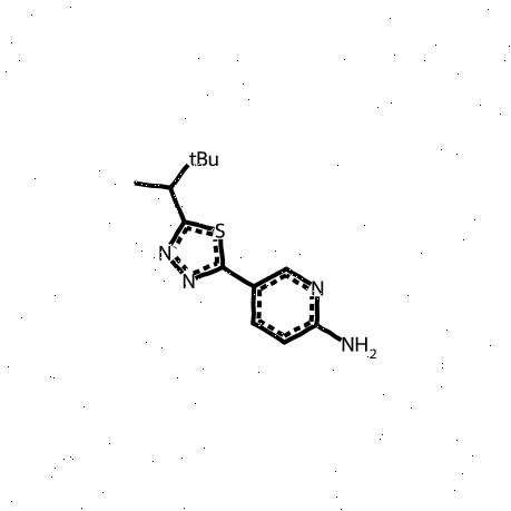 CC(c1nnc(-c2ccc(N)nc2)s1)C(C)(C)C